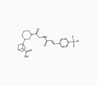 O=C(/C=C/c1ccc(C(F)(F)F)cc1)NCC(=O)N1CCCC(C23CCC(C2)C3C(=O)O)C1